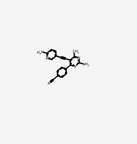 Cc1nc(N)nc(-c2ccc(C#N)cc2)c1C#Cc1ccc(N)nc1